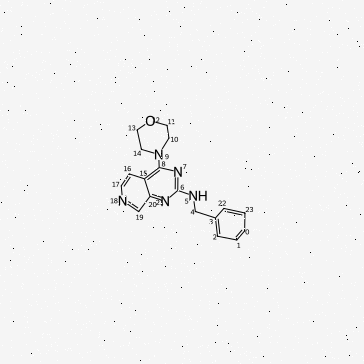 c1ccc(CNc2nc(N3CCOCC3)c3ccncc3n2)cc1